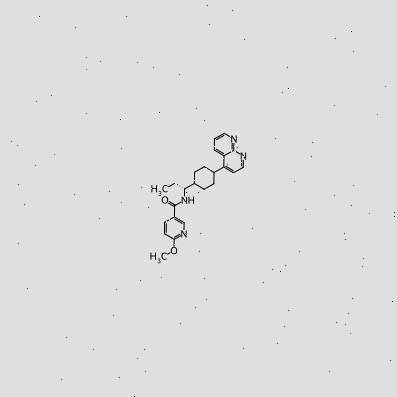 CC[C@@H](NC(=O)c1ccc(OC)nc1)C1CCC(c2ccnc3ncccc23)CC1